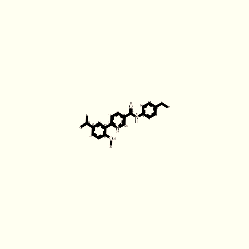 CCc1ccc(NC(=O)c2ccc(-c3cc(C(C)C)ccc3OC)nc2)cc1